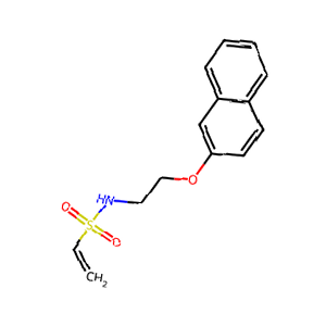 C=CS(=O)(=O)NCCOc1ccc2ccccc2c1